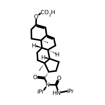 CC(C)NC(=O)N(C(=O)[C@H]1CC[C@H]2[C@@H]3CC=C4C=C(OC(=O)O)CC[C@]4(C)[C@H]3CC[C@]12C)C(C)C